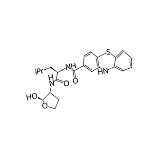 CC(C)C[C@@H](NC(=O)c1ccc2c(c1)Nc1ccccc1S2)C(=O)NC1CCO[C@H]1O